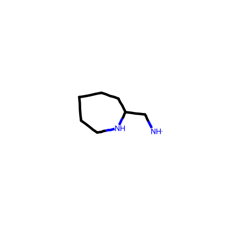 [NH]CC1CCCCCN1